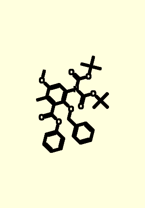 COc1cc(N(C(=O)OC(C)(C)C)C(=O)OC(C)(C)C)c(OCc2ccccc2)c(C(=O)Oc2ccccc2)c1C